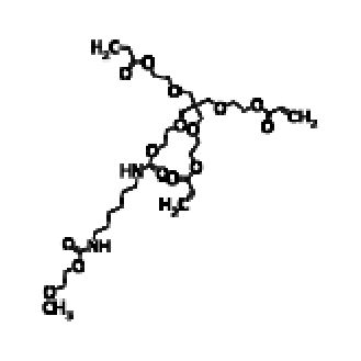 C=CC(=O)OCCOCC(COCCOC(=O)C=C)(COCCOC(=O)C=C)COCCOC(=O)NCCCCCCNC(=O)OCCOC